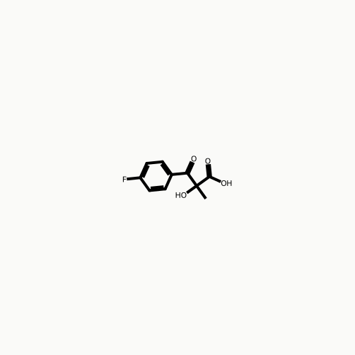 CC(O)(C(=O)O)C(=O)c1ccc(F)cc1